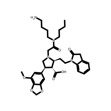 CCCCN(CCCCN)C(=O)CN1C[C@H](c2cc(OC)c3c(c2)OCO3)[C@@H](C(=O)O)[C@@H]1CCN1C(=O)Cc2ccccc21